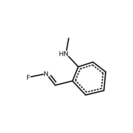 CNc1ccccc1C=NF